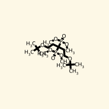 COP(=O)(OC)C(CCOC(C)(C)C)(CCOC(C)(C)C)P(=O)(OC)OC